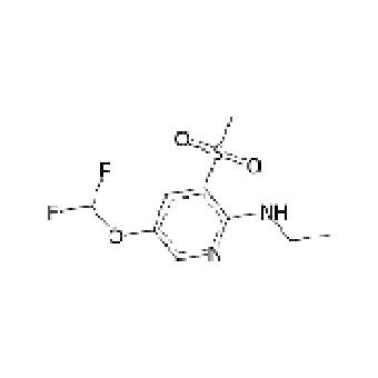 CCNc1ncc(OC(F)F)cc1S(C)(=O)=O